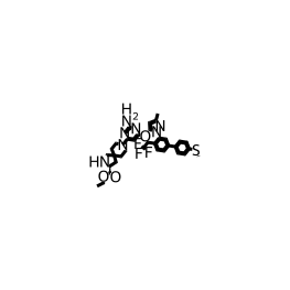 CCOC(=O)[C@@H]1CC2(CCN(c3cc(O[C@H](c4ccc(-c5ccc(SC)cc5)cc4-n4ccc(C)n4)C(F)(F)F)nc(N)n3)CC2)CN1